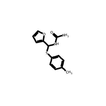 Cc1ccc(SC(NC(N)=O)c2ccco2)cc1